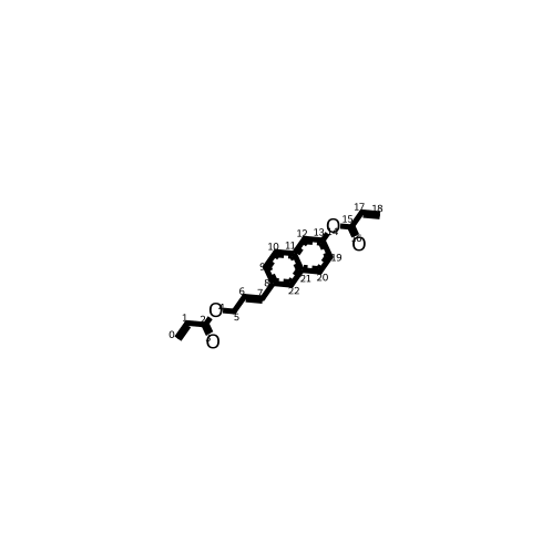 C=CC(=O)OC/C=C/c1ccc2cc(OC(=O)C=C)ccc2c1